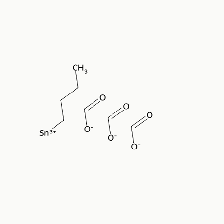 CCC[CH2][Sn+3].O=C[O-].O=C[O-].O=C[O-]